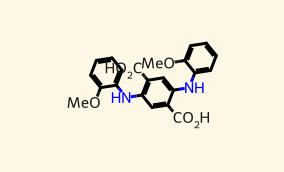 COc1ccccc1Nc1cc(C(=O)O)c(Nc2ccccc2OC)cc1C(=O)O